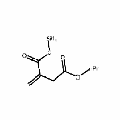 C=C(CC(=O)OCCC)C(=O)O[SiH3]